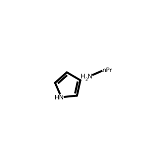 CCCN.c1cc[nH]c1